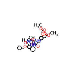 CCOC(=O)COc1ccc(C[C@H](NC(=O)OC(C)(C)C)C(=O)N[C@H]2CCCCc3cc(OCC4CCCCC4)c(C(N)=O)cc32)cc1CC(=O)OCC